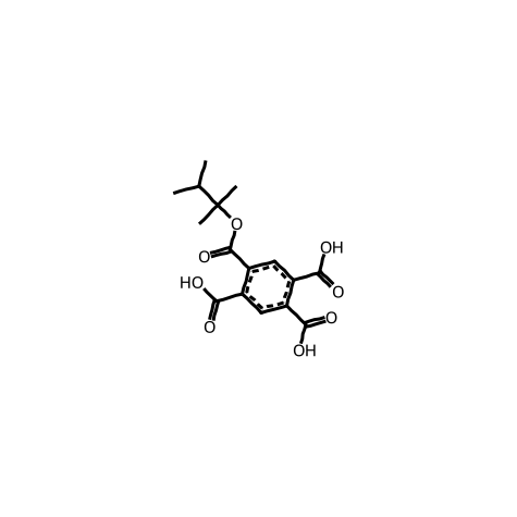 CC(C)C(C)(C)OC(=O)c1cc(C(=O)O)c(C(=O)O)cc1C(=O)O